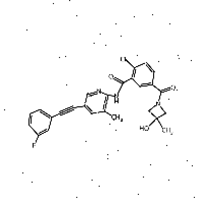 Cc1cc(C#Cc2cccc(F)c2)cnc1NC(=O)c1cc(C(=O)N2CC(C)(O)C2)ccc1Cl